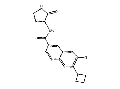 O=C(NC1CCNC1=O)c1cnc2cc(C3CCC3)c(Cl)cc2c1